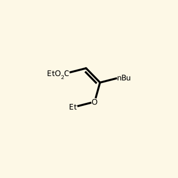 CCCCC(=CC(=O)OCC)OCC